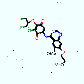 COCCOc1cc2ncnc(NC3=CC(=O)C(OC(CF)CF)=C(Cl)C3=O)c2cc1OC